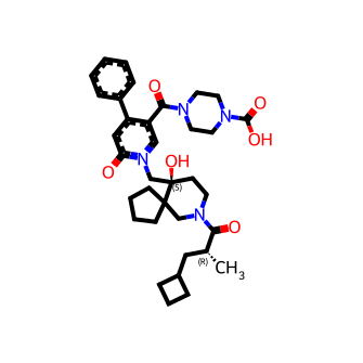 C[C@H](CC1CCC1)C(=O)N1CC[C@@](O)(Cn2cc(C(=O)N3CCN(C(=O)O)CC3)c(-c3ccccc3)cc2=O)C2(CCCC2)C1